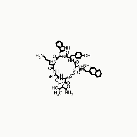 CC(C)C1NC(=O)C(CCCCN)NC(=O)C(Cc2c[nH]c3ccccc23)NC(=O)C(Cc2ccc(O)cc2)NC(=O)C(NC(=O)[C@@H](N)Cc2ccc3ccccc3c2)CSSCC(C(=O)NC(C(N)=O)[C@H](C)O)NC1=O